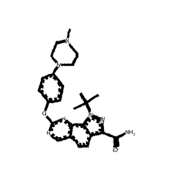 CN1CCN(c2ccc(Oc3ncc4ccc5c(C(N)=O)nn(C(C)(C)C)c5c4n3)cc2)CC1